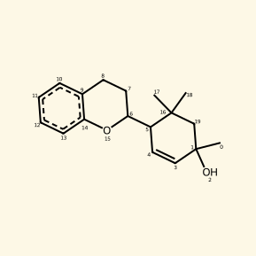 CC1(O)C=CC(C2CCc3ccccc3O2)C(C)(C)C1